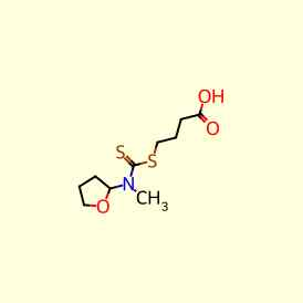 CN(C(=S)SCCCC(=O)O)C1CCCO1